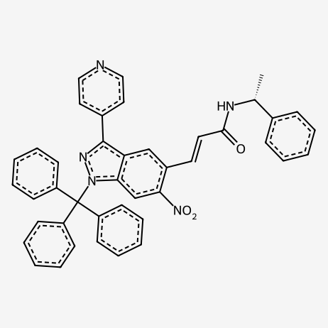 C[C@@H](NC(=O)C=Cc1cc2c(-c3ccncc3)nn(C(c3ccccc3)(c3ccccc3)c3ccccc3)c2cc1[N+](=O)[O-])c1ccccc1